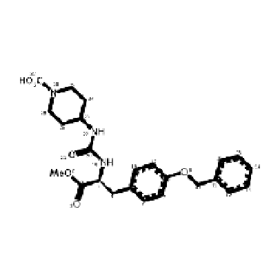 COC(=O)[C@H](Cc1ccc(OCc2ccccc2)cc1)NC(=O)NC1CCN(C(=O)O)CC1